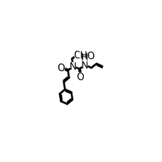 C=CCNC(=O)N(C[C]=O)C(=O)C=Cc1ccccc1